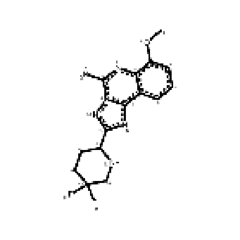 COc1cccc2c1nc(N)n1nc(C3CCC(F)(F)CN3)nc21